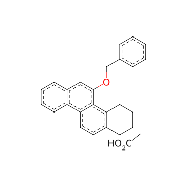 CC(=O)O.c1ccc(COc2cc3ccccc3c3ccc4c(c23)CCCC4)cc1